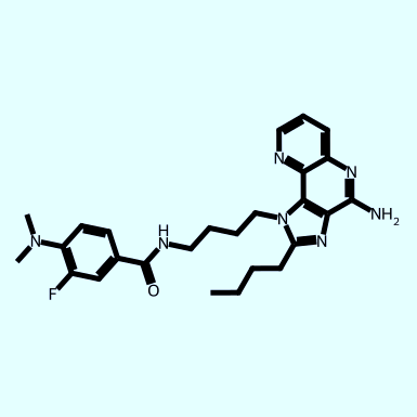 CCCCc1nc2c(N)nc3cccnc3c2n1CCCCNC(=O)c1ccc(N(C)C)c(F)c1